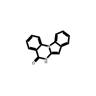 O=c1[nH]c2[c]c3ccccc3n2c2ccccc12